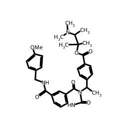 COc1ccc(CNC(=O)c2ccc3[nH]c(=O)n(C(C)c4ccc(C(=O)OC(C)(C)C(C)N(C)C)cc4)c(=O)c3c2)cc1